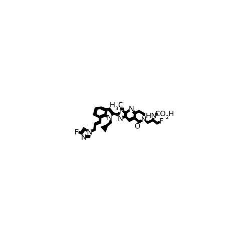 Cn1c(-c2cc3cccc(C=CCn4cnc(F)c4)c3n2CC2CC2)nc2cc3c(nc21)CCN(CC(CF)NC(=O)O)C3=O